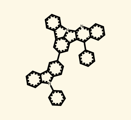 c1ccc(-c2c3ccccc3nc3c2c2cc(-c4ccc5c(c4)c4ccccc4n5-c4ccccc4)cc4c5ccccc5n3c42)cc1